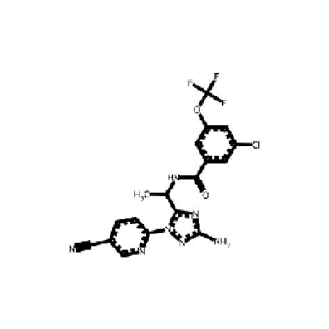 CC(NC(=O)c1cc(Cl)cc(OC(F)(F)F)c1)c1nc(N)nn1-c1ccc(C#N)cn1